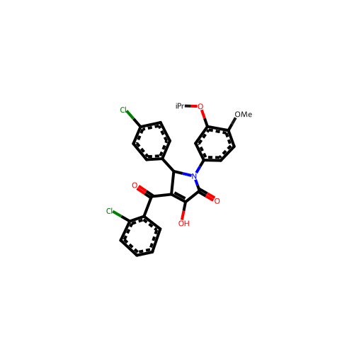 COc1ccc(N2C(=O)C(O)=C(C(=O)c3ccccc3Cl)C2c2ccc(Cl)cc2)cc1OC(C)C